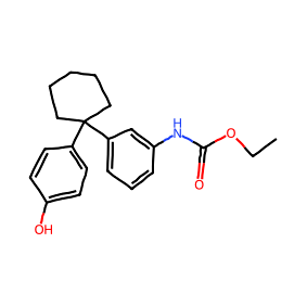 CCOC(=O)Nc1cccc(C2(c3ccc(O)cc3)CCCCC2)c1